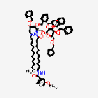 CCCCCCCCCCCCCC[C@@H](OCc1ccccc1)[C@@H](OCc1ccccc1)[C@H](CO[C@H]1O[C@H](COCc2ccccc2)[C@H](OCc2ccccc2)[C@H](OCc2ccccc2)[C@H]1OCc1ccccc1)NC(=O)CCCCCCCCCCCNC(=O)c1cccc(OC)c1